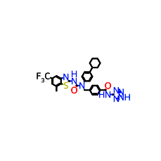 Cc1cc(C(F)(F)F)cc2nc(NC(=O)N(Cc3ccc(C(=O)Nc4nn[nH]n4)cc3)c3ccc(C4CCCCC4)cc3)sc12